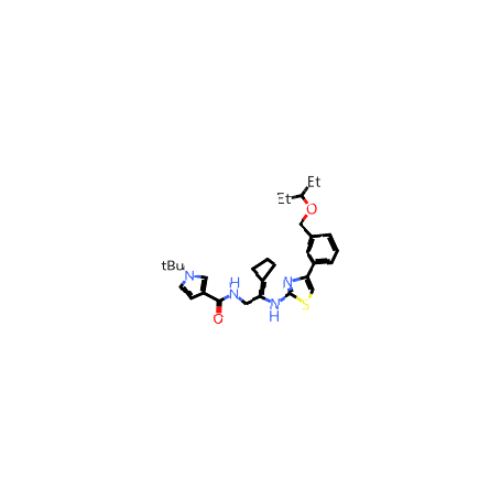 CCC(CC)OCc1cccc(-c2csc(NC(CNC(=O)c3ccn(C(C)(C)C)c3)=C3CCC3)n2)c1